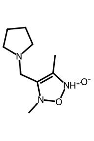 CC1=C(CN2CCCC2)N(C)O[NH+]1[O-]